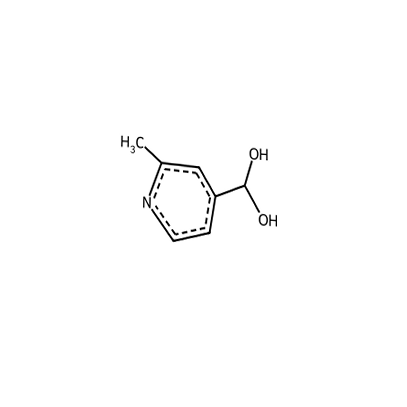 Cc1cc(C(O)O)ccn1